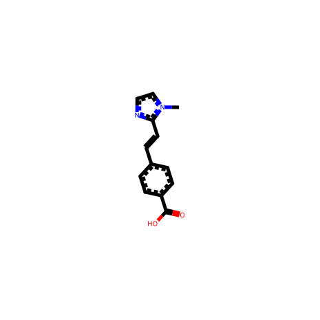 Cn1ccnc1C=Cc1ccc(C(=O)O)cc1